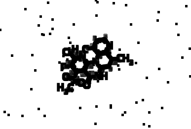 Cc1ccnc2c1N1C(=CC2C)NC(=O)c2c1nc(Cl)c(F)c2S(C)(=O)=O